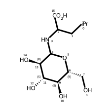 CC(C)CC(NC1O[C@H](CO)[C@@H](O)[C@H](O)[C@H]1O)C(=O)O